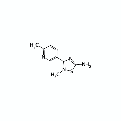 Cc1ccc(C2N=C(N)SN2C)cn1